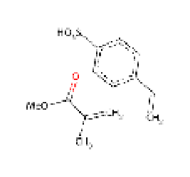 C=C(C)C(=O)OC.C=Cc1ccc(S(=O)(=O)O)cc1